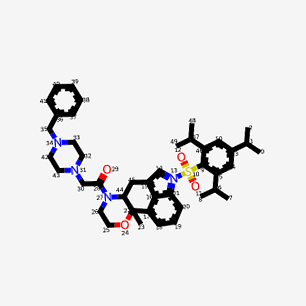 CC(C)c1cc(C(C)C)c(S(=O)(=O)n2cc3c4c(cccc42)C2(C)OCCN(C(=O)CN4CCN(Cc5ccccc5)CC4)C2C3)c(C(C)C)c1